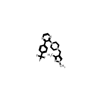 Cc1nn(C)cc1CN1CCN(c2nccnc2-c2ccc(C(F)(F)F)cc2)CC1